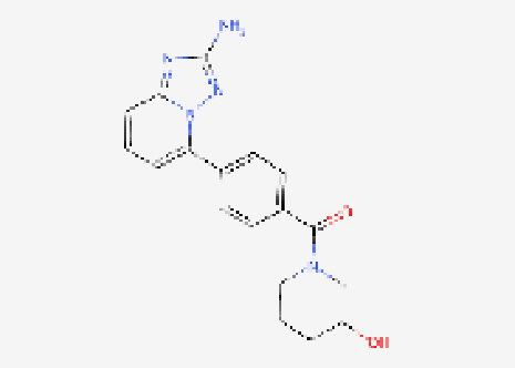 Nc1nc2cccc(-c3ccc(C(=O)N4CCCC(O)C4)cc3)n2n1